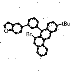 CC(C)(C)c1ccc2c(-c3cccc(-c4ccc5occc5c4)c3)c3c(Br)cc4ccccc4c3cc2c1